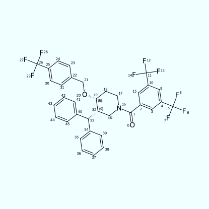 O=C(c1cc(C(F)(F)F)cc(C(F)(F)F)c1)N1CC[C@@H](OCc2ccc(C(F)(F)F)cc2)[C@@H](C(c2ccccc2)c2ccccc2)C1